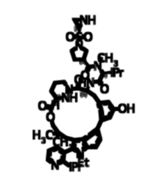 CCn1c(-c2cccnc2C(C)C)c2c3cc(ccc31)-c1cc(O)cc(c1)C[C@H](NC(=O)[C@H](C(C)C)N(C)C(=O)[C@H]1CCN(S(=O)(=O)[C@@H]3CN3)C1)C(=O)N1CCC[C@H](N1)C(=O)OCC(C)(C)C2